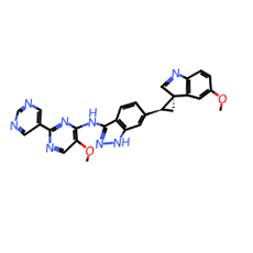 COc1ccc2c(c1)[C@@]1(C=N2)C[C@H]1c1ccc2c(Nc3nc(-c4cncnc4)ncc3OC)n[nH]c2c1